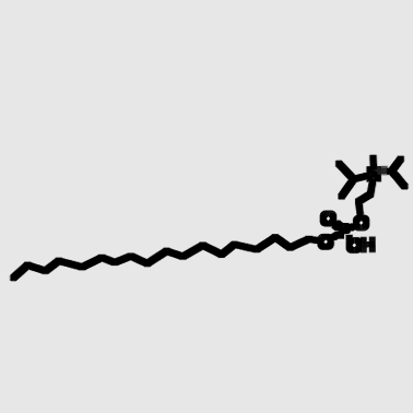 CCCCCCCCCCCCCCCCCCOP(=O)(O)OCC[N+](C)(C(C)C)C(C)C